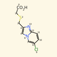 O=C(O)CSCc1cn2cc(Cl)ccc2n1